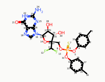 Cc1ccc(OP(=S)(OC[C@@]2(C(F)F)O[C@@H](n3cnc4c(=O)[nH]c(N)nc43)[C@@H](O)[C@@H]2O)Oc2ccc(C)cc2)cc1